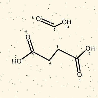 O=C(O)CCC(=O)O.O=CO